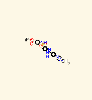 CC(C)OC(=O)[C@H]1CC[C@H](NS(=O)(=O)c2ccc3[nH]c(-c4ccc(N5CCN(C)CC5)cc4)nc3c2)CC1